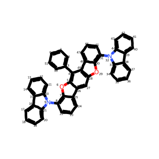 c1ccc(-c2c3oc4c(-n5c6ccccc6c6ccccc65)cccc4c3cc3oc4c(-n5c6ccccc6c6ccccc65)cccc4c23)cc1